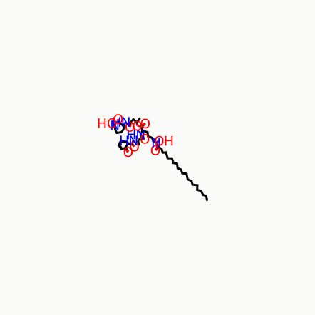 CCCCCCCCCCCCCCCCCCCCC(=O)N(O)CCCCC(NC(=O)C1COC(=C2C=CC=CC2=O)N1)C(=O)OC(C)CC(=O)NC1CCCCN(O)C1=O